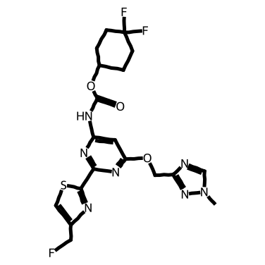 Cn1cnc(COc2cc(NC(=O)OC3CCC(F)(F)CC3)nc(-c3nc(CF)cs3)n2)n1